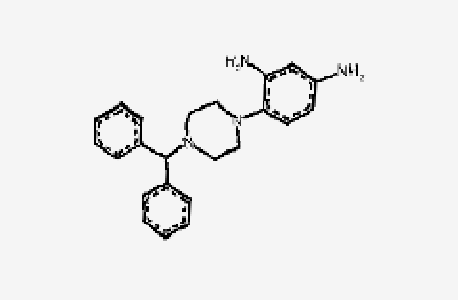 Nc1ccc(N2CCN(C(c3ccccc3)c3ccccc3)CC2)c(N)c1